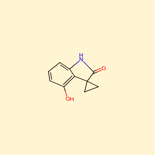 O=C1Nc2cccc(O)c2C12CC2